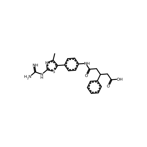 Cc1nc(NC(=N)N)sc1-c1ccc(NC(=O)CC(CC(=O)O)c2ccccc2)cc1